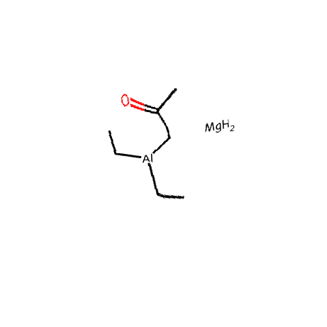 C[CH2][Al]([CH2]C)[CH2]C(C)=O.[MgH2]